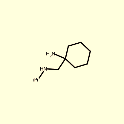 CC(C)NCC1(N)CCCCC1